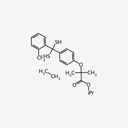 CC.CC(C)OC(=O)C(C)(C)Oc1ccc(C(S)(S)c2ccccc2C(F)(F)F)cc1